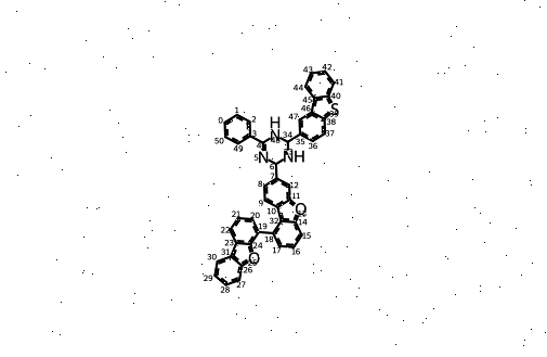 c1ccc(C2=NC(c3ccc4c(c3)oc3cccc(-c5cccc6c5oc5ccccc56)c34)NC(c3ccc4sc5ccccc5c4c3)N2)cc1